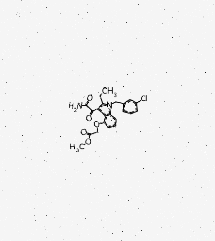 CCc1c(C(=O)C(N)=O)c2c(OCC(=O)OC)cccc2n1Cc1cccc(Cl)c1